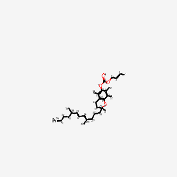 CC=CCOC(=O)Oc1c(C)c(C)c2c(c1C)CCC(C)(CCCC(C)CCCC(C)CCCC(C)C)O2